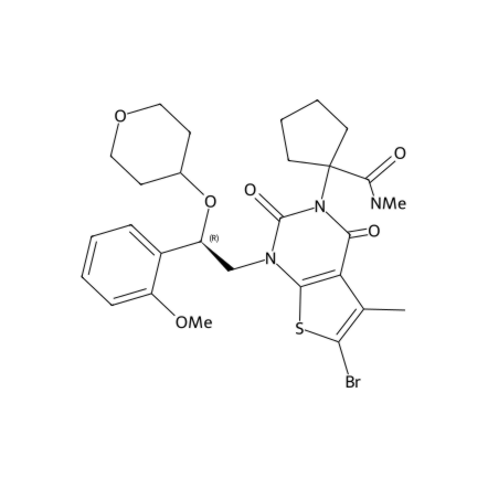 CNC(=O)C1(n2c(=O)c3c(C)c(Br)sc3n(C[C@H](OC3CCOCC3)c3ccccc3OC)c2=O)CCCC1